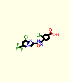 O=C(O)c1ccc(-c2noc(-c3cn4cc(C(F)(F)F)cc(Cl)c4n3)n2)c(Cl)c1